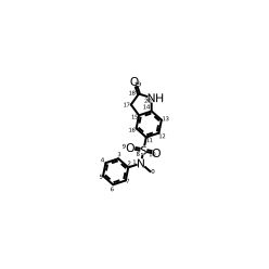 CN(c1ccccc1)S(=O)(=O)c1ccc2c(c1)CC(=O)N2